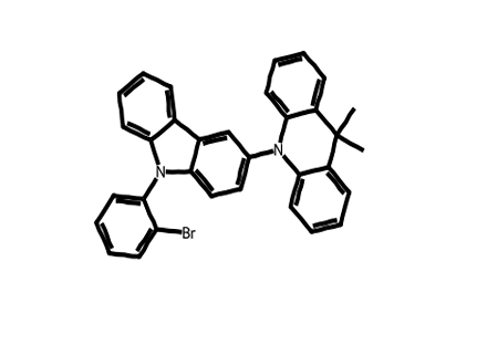 CC1(C)c2ccccc2N(c2ccc3c(c2)c2ccccc2n3-c2ccccc2Br)c2ccccc21